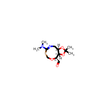 CN(C)C1=NC[C@H]2OC(C)(C)O[C@@H]2[C@@H](C=O)OCS1